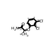 C[C@H](Oc1cccc(Cl)c1Cl)C(N)=O